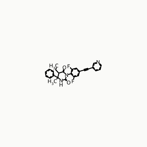 CCC1C(=O)N(c2c(F)cc(C#Cc3cccnc3)cc2F)C(=O)NC1(C)c1ccccc1